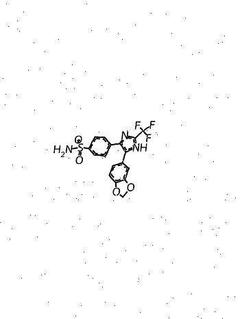 NS(=O)(=O)c1ccc(-c2nc(C(F)(F)F)[nH]c2-c2ccc3c(c2)OCO3)cc1